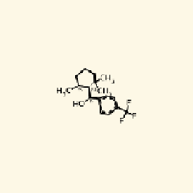 C[C@H]1CCCC(C)(C)[C@@H]1[C@H](O)c1ccc(C(F)(F)F)cc1